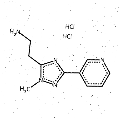 Cl.Cl.Cn1nc(-c2cccnc2)nc1CCN